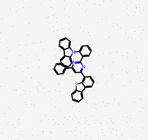 c1ccc(-c2cc(-c3cccc4c3sc3ccccc34)nc(-c3ccccc3-n3c4ccccc4c4ccccc43)n2)cc1